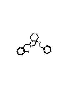 FCC1(OCc2ccccc2)CCCCN1CCc1ccccc1F